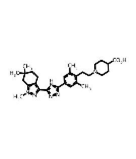 Cc1cc(-c2nnc(-c3nn(C)c4c3CCC(C)(C)C4)[nH]2)cc(C)c1CCN1CCC(C(=O)O)CC1